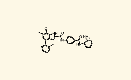 Cc1ccccc1-c1cn(C)c(=O)c2[nH]c(C(=O)Nc3ccc(C(=O)Nc4ccccc4N)cc3)cc12